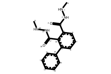 CNNC(=O)c1cccc(-c2ccccc2)c1C(=O)NNC